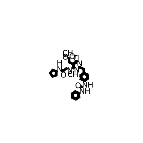 COC(=O)Cc1c(Cl)nc(Cc2ccc(NC(=O)Nc3ccccc3)cc2)nc1N(C)CC(=O)NC1CCCC1